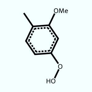 COc1cc(OO)ccc1C